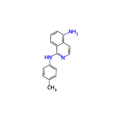 Cc1ccc(Nc2nccc3c(N)cccc23)cc1